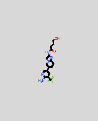 Nc1ncc(-c2ccc3nc(NC(=O)CCCO)cn3c2)cc1C(F)(F)F